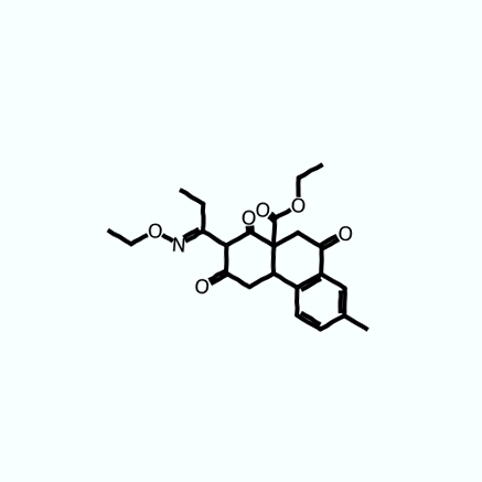 CCON=C(CC)C1C(=O)CC2c3ccc(C)cc3C(=O)CC2(C(=O)OCC)C1=O